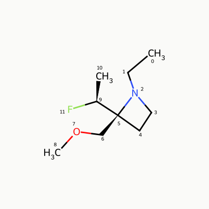 CCN1CC[C@]1(COC)[C@H](C)F